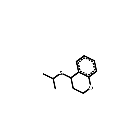 CC(C)SC1CCOc2ccccc21